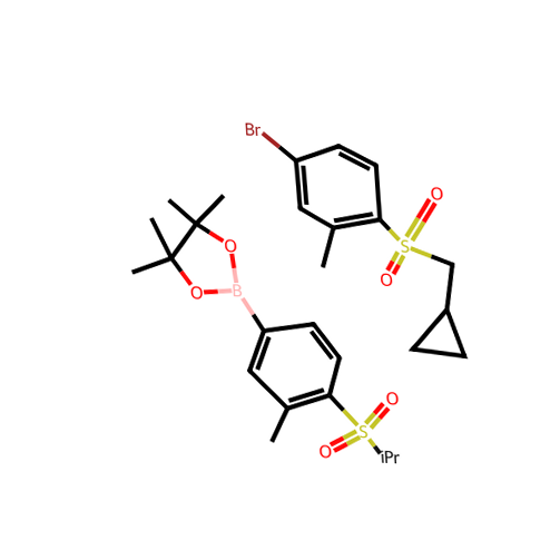 Cc1cc(B2OC(C)(C)C(C)(C)O2)ccc1S(=O)(=O)C(C)C.Cc1cc(Br)ccc1S(=O)(=O)CC1CC1